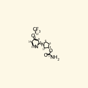 NC(=O)OC1CCN(c2cc(OCC(F)(F)F)ccn2)C1